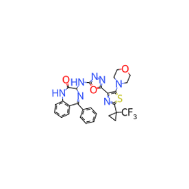 O=C1Nc2ccccc2C(c2ccccc2)=NC1Nc1nnc(-c2nc(C3(C(F)(F)F)CC3)sc2N2CCOCC2)o1